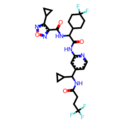 O=C(CCC(F)(F)F)NC(c1ccnc(NC(=O)C(NC(=O)c2nonc2C2CC2)C2CCC(F)(F)CC2)c1)C1CC1